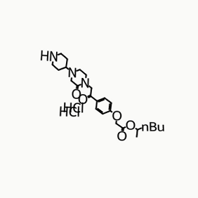 CCCCC(C)OC(=O)COc1ccc(C(=O)CN2CCN(C3CCNCC3)CC2=O)cc1.Cl.Cl